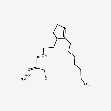 CCCCCCCC1=NCCN1CCO.O=C(O)CCl.[Na+].[OH-]